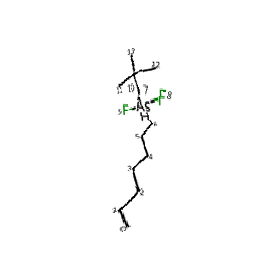 CCCCCCC[AsH](F)(F)C(C)(C)C